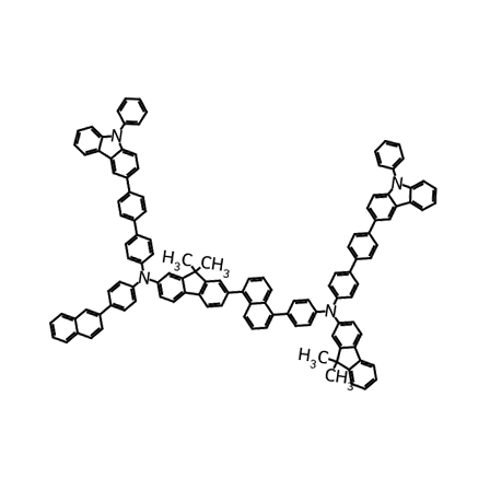 CC1(C)c2ccccc2-c2ccc(N(c3ccc(-c4ccc(-c5ccc6c(c5)c5ccccc5n6-c5ccccc5)cc4)cc3)c3ccc(-c4cccc5c(-c6ccc7c(c6)C(C)(C)c6cc(N(c8ccc(-c9ccc(-c%10ccc%11c(c%10)c%10ccccc%10n%11-c%10ccccc%10)cc9)cc8)c8ccc(-c9ccc%10ccccc%10c9)cc8)ccc6-7)cccc45)cc3)cc21